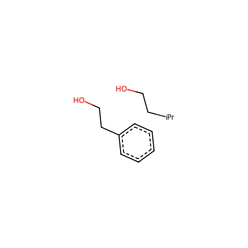 CC(C)CCO.OCCc1ccccc1